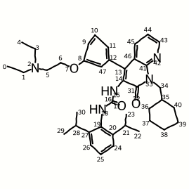 CCN(CC)CCOc1cccc(-c2c(NC(=O)Nc3c(C(C)C)cccc3C(C)C)c(=O)n(CC3CCCCC3)c3ncccc23)c1